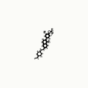 CCC1CCC(CCc2ccc3c(F)c(-c4ccc(OC(F)F)c(F)c4)ccc3c2)CC1